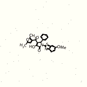 COc1ccc2nc(N3C(=O)C(O)=C(C(=O)c4cc(C)oc4C)C3c3ccccc3)sc2c1